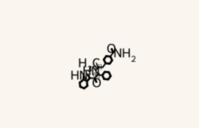 C[C@@H](Cc1ccc(C(N)=O)cc1)N[C@@H](C(=O)c1c[nH]c2ccccc12)c1ccccc1